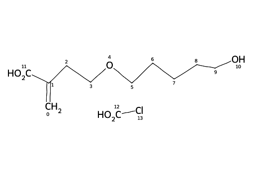 C=C(CCOCCCCCO)C(=O)O.O=C(O)Cl